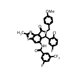 COc1ccc(CN2C(=O)c3c(c(NC(=O)c4cc(F)cc(C(F)(F)F)c4)cc4sc(C)nc34)C2c2cc(F)ccc2Cl)cc1